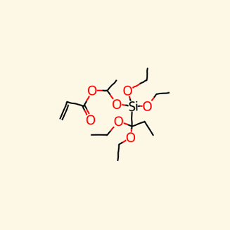 C=CC(=O)OC(C)O[Si](OCC)(OCC)C(CC)(OCC)OCC